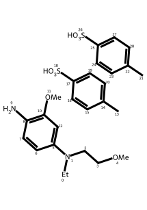 CCN(CCOC)c1ccc(N)c(OC)c1.Cc1ccc(S(=O)(=O)O)cc1.Cc1ccc(S(=O)(=O)O)cc1